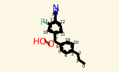 CCCc1ccc(C(OO)c2ccc(C#N)c(F)c2)cc1